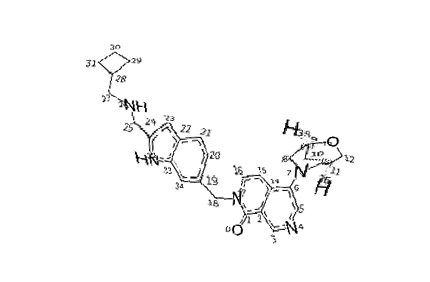 O=c1c2cncc(N3C[C@@H]4C[C@H]3CO4)c2ccn1Cc1ccc2cc(CNCC3CCC3)[nH]c2c1